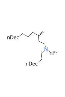 C=C(CCCCCCCCCCCCC)CCN(CCC)CCCCCCCCCCCC